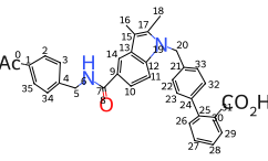 CC(=O)c1ccc(CNC(=O)c2ccc3c(c2)c(C)c(C)n3Cc2ccc(-c3ccccc3C(=O)O)cc2)cc1